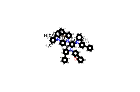 Cc1cc(C)c2c(c1)N(c1ccc3c(c1)N(c1cccc4c1sc1ccccc14)c1cc(N4c5ccc(-c6ccccc6)cc5C5(C)CCCCC45C)cc4c1B3c1ccc(-c3ccccc3)cc1N4c1ccc3c(c1)oc1ccccc13)C1(C)CCCCC21C